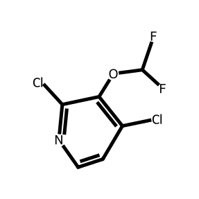 FC(F)Oc1c(Cl)ccnc1Cl